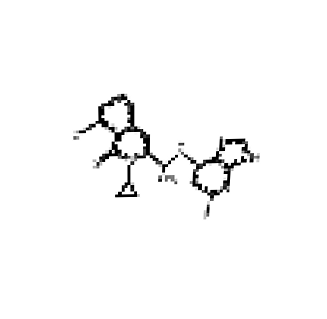 C[C@H](Nc1nc(F)nc2[nH]cnc12)c1cc2cccc(Cl)c2c(=O)n1C1CC1